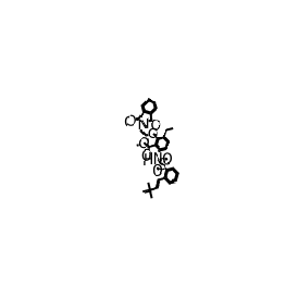 CCc1ccc(NS(=O)(=O)c2ccccc2/C=C/C(C)(C)C)c(C(=O)OC)c1OCCN1C(=O)c2ccccc2C1=O